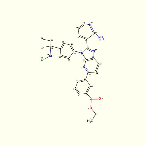 CCOC(=O)c1cccc(-c2ccc3nc(-c4cccnc4N)n(-c4ccc(C5(NCl)CCC5)cc4)c3n2)c1